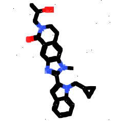 CC(O)CN1CCc2cc3c(cc2C1=O)nc(-c1cc2ccccc2n1CC1CC1)n3C